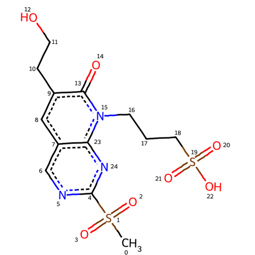 CS(=O)(=O)c1ncc2cc(CCO)c(=O)n(CCCS(=O)(=O)O)c2n1